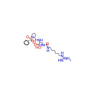 N=C(N)NCCCCCCNC(=O)NCC(NC(=O)C1CCCN1S(=O)(=O)c1ccccc1)C(=O)O